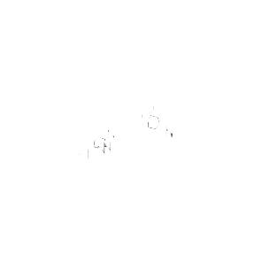 CCON=Cc1ccc(OCCC2CCN(c3ccc(Cl)nn3)CC2)c(OC)c1